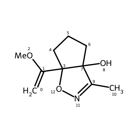 C=C(OC)C12CCCC1(O)C(C)=NO2